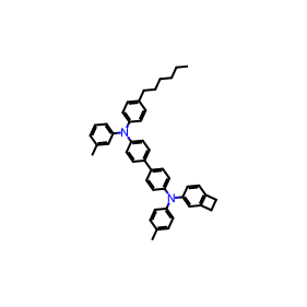 CCCCCCc1ccc(N(c2ccc(-c3ccc(N(c4ccc(C)cc4)c4ccc5c(c4)CC5)cc3)cc2)c2cccc(C)c2)cc1